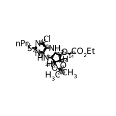 CCCSc1nc(Cl)c(N)c(NC2C[C@H](OCC(=O)OCC)[C@H]3OC(C)(C)O[C@@H]23)n1